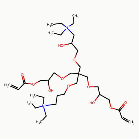 C=CC(=O)OCC(O)COCC(COCCC[N+](CC)(CC)CC)(COCC(O)COC(=O)C=C)COCC(O)C[N+](CC)(CC)CC